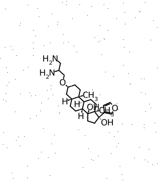 C[C@]12CC[C@H](OCC(N)CN)C[C@H]1CC[C@@H]1[C@@H]2CC[C@]2(C)[C@@](O)(c3ccoc3)CC[C@]12O